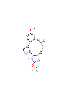 COc1ccc2c(c1)NC(=O)[C@H](C)CCC[C@H](NC(=O)OC(C)(C)C)c1cc-2ccn1